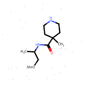 COCC(C)NC(=O)C1(C)CCNCC1